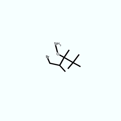 CC(CBr)C(C)(O[SiH3])C(C)(C)C